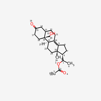 CC(OC(=O)C(C)(C)C)[C@@H]1CCC2=C3CCC4CC(=O)CC[C@@]4(CO)[C@@H]3CC[C@]21C